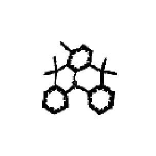 Cc1ccc2c3c1C(C)(C)c1ccccc1N3c1ccccc1C2(C)C